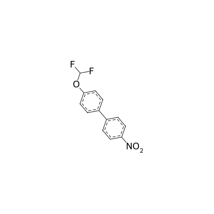 O=[N+]([O-])c1ccc(-c2ccc(OC(F)F)cc2)cc1